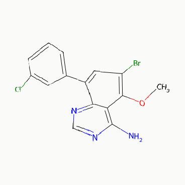 COc1c(Br)cc(-c2cccc(Cl)c2)c2ncnc(N)c12